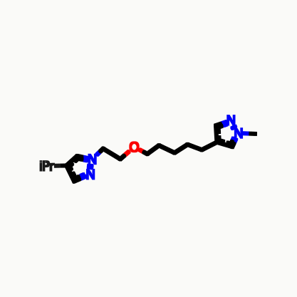 CC(C)c1cnn(CCOCCCCCc2cnn(C)c2)c1